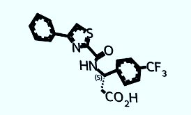 O=C(O)C[C@H](NC(=O)c1nc(-c2ccccc2)cs1)c1ccc(C(F)(F)F)cc1